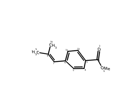 COC(=O)c1ccc(C=C(C)C)cc1